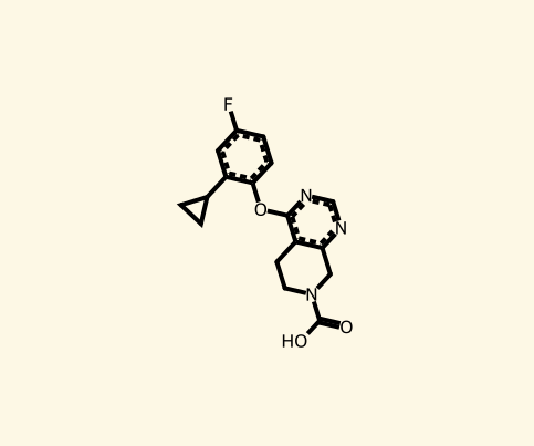 O=C(O)N1CCc2c(ncnc2Oc2ccc(F)cc2C2CC2)C1